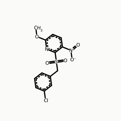 COc1ccc([N+](=O)[O-])c(S(=O)(=O)Cc2cccc(Cl)c2)n1